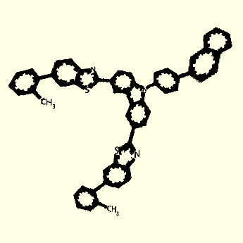 Cc1ccccc1-c1ccc2nc(-c3ccc4c(c3)c3cc(-c5nc6ccc(-c7ccccc7C)cc6s5)ccc3n4-c3ccc(-c4ccc5ccccc5c4)cc3)sc2c1